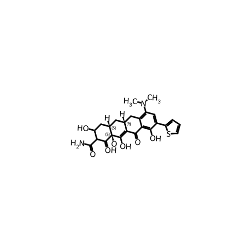 CN(C)c1cc(-c2cccs2)c(O)c2c1C[C@H]1C[C@H]3CC(O)C(C(N)=O)C(=O)[C@@]3(O)C(O)=C1C2=O